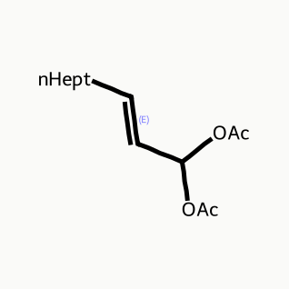 CCCCCCC/C=C/C(OC(C)=O)OC(C)=O